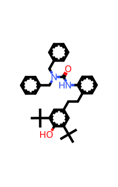 CC(C)(C)c1cc(CCc2ccccc2NC(=O)N(Cc2ccccc2)Cc2ccccc2)cc(C(C)(C)C)c1O